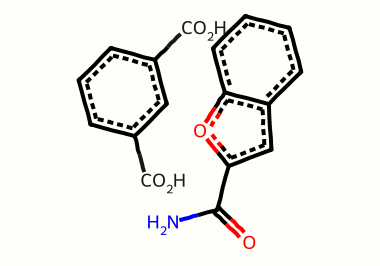 NC(=O)c1cc2ccccc2o1.O=C(O)c1cccc(C(=O)O)c1